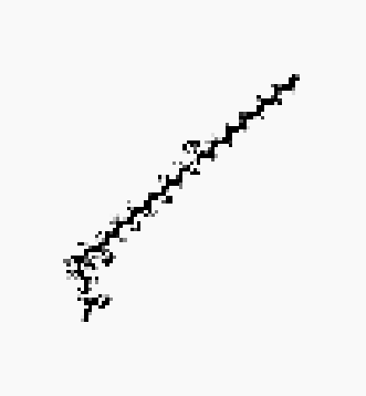 CCCCCCCCCCCCC(=O)OCCCCCCCCCCOC(=O)C[N+](C)(C)CCOC(C)=O